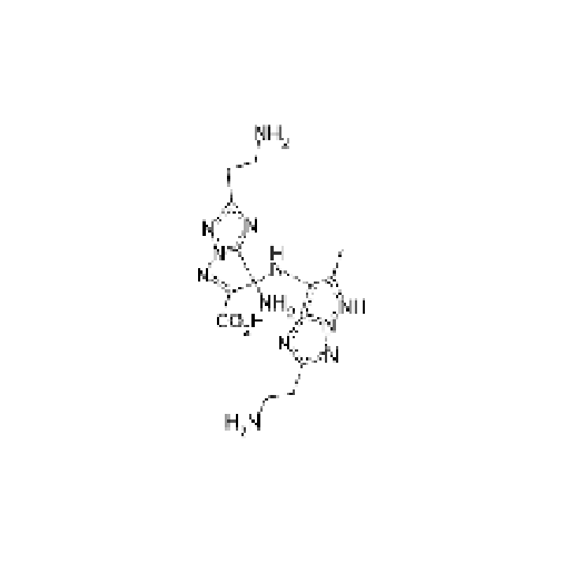 Cc1[nH]n2nc(CCN)nc2c1NC1(N)C(C(=O)O)=Nn2nc(CCN)nc21